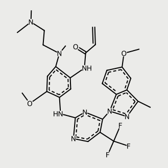 C=CC(=O)Nc1cc(Nc2ncc(C(F)(F)F)c(-n3nc(C)c4cc(OC)ccc43)n2)c(OC)cc1N(C)CCN(C)C